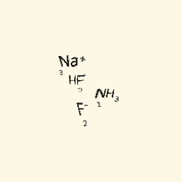 F.N.[F-].[Na+]